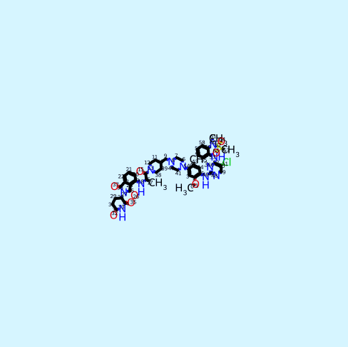 COc1cc(N2CCN(CC3CCN(C(=O)C(C)Nc4cccc5c4C(=O)N(C4CCC(=O)NC4=O)C5=O)CC3)CC2)c(C)cc1Nc1ncc(Cl)c(Nc2ccccc2N(C)S(C)(=O)=O)n1